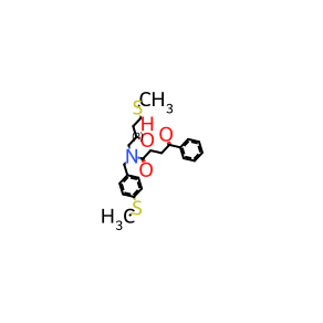 CSCC[C@@H](O)CN(Cc1ccc(SC)cc1)C(=O)CCC(=O)c1ccccc1